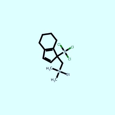 CC[Si](C)(C)C[C]1([Ti]([Cl])([Cl])[Cl])C=CC2=C1CCCC2